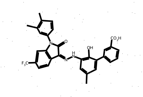 Cc1cc(NN=C2C(=O)N(c3ccc(C)c(C)c3)c3cc(C(F)(F)F)ccc32)c(O)c(-c2cccc(C(=O)O)c2)c1